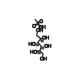 CS(=O)(=O)O.OC[C@@H](O)[C@@H](O)[C@H](O)[C@H](O)CO